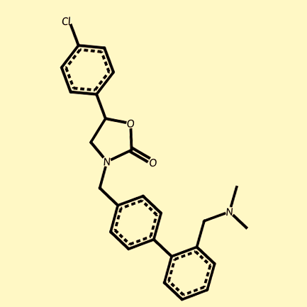 CN(C)Cc1ccccc1-c1ccc(CN2CC(c3ccc(Cl)cc3)OC2=O)cc1